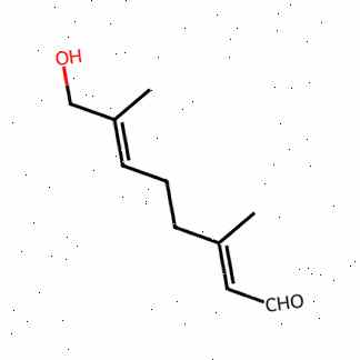 C/C(=C\CC/C(C)=C/C=O)CO